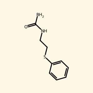 BC(=O)NCCSc1ccccc1